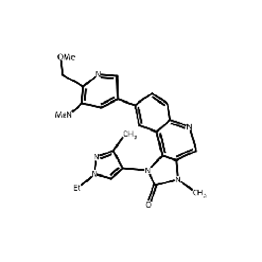 CCn1cc(-n2c(=O)n(C)c3cnc4ccc(-c5cnc(COC)c(NC)c5)cc4c32)c(C)n1